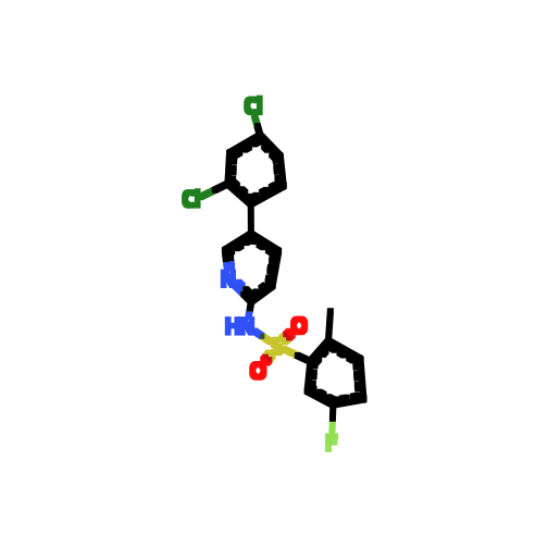 Cc1ccc(F)cc1S(=O)(=O)Nc1ccc(-c2ccc(Cl)cc2Cl)cn1